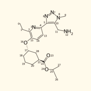 CCc1nc(-c2nnn(C)c2CN)ccc1O[C@H]1CCC[C@H](C(=O)OC(C)C)C1